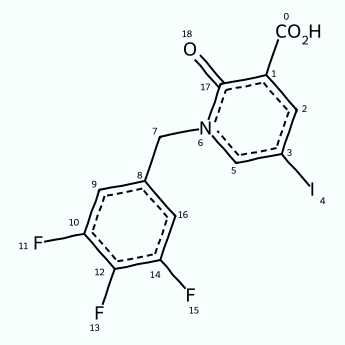 O=C(O)c1cc(I)cn(Cc2cc(F)c(F)c(F)c2)c1=O